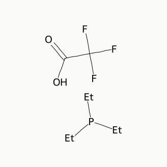 CCP(CC)CC.O=C(O)C(F)(F)F